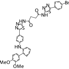 COc1ccc(-c2ccccc2Nc2ccc(-c3nnc(NC(=O)CCC(=O)Nc4nnc(-c5ccc(Br)cc5)s4)s3)cc2)cc1OC